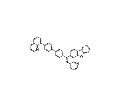 c1cnc2c(-c3ccc(-c4ccc(-c5nc6cccnc6c6c5ccc5c7ccccc7oc56)cc4)cc3)cccc2c1